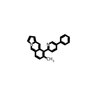 Cc1ccc2cn3cccc3cc2c1-c1ccc(-c2ccccc2)cn1